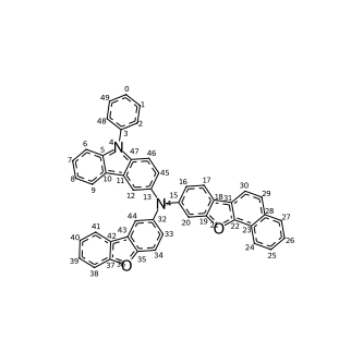 c1ccc(-n2c3ccccc3c3cc(N(c4ccc5c(c4)oc4c6ccccc6ccc54)c4ccc5oc6ccccc6c5c4)ccc32)cc1